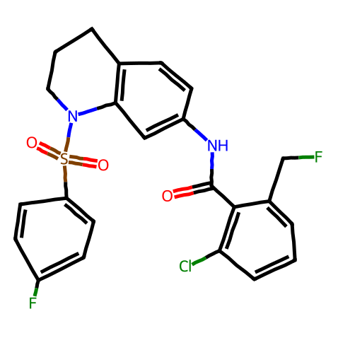 O=C(Nc1ccc2c(c1)N(S(=O)(=O)c1ccc(F)cc1)CCC2)c1c(Cl)cccc1CF